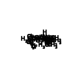 CC(C(=O)OCc1ccccc1)c1ccc(OC(=O)c2ccc(N/C(=N/C(=O)OC(C)(C)C)N(N)C(=O)OC(C)(C)C)cc2)cc1Cl